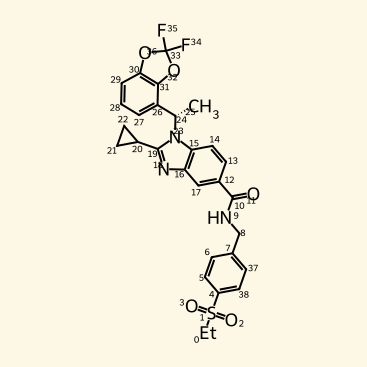 CCS(=O)(=O)c1ccc(CNC(=O)c2ccc3c(c2)nc(C2CC2)n3[C@@H](C)c2cccc3c2OC(F)(F)O3)cc1